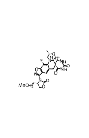 CO/N=C/[C@H]1COC(=O)N1c1noc2c(F)c3c(cc12)CC1(C(=O)NC(=O)NC1=O)[C@H]1[C@H](C)O[C@H](C)CN31